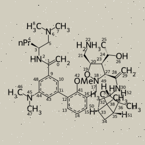 C=C(N[C@@H](CCC)CN(C)C)c1cc(-c2cccc(CN3O[C@@H](CN)[C@@H]([C@H](C)O)[C@H]3C(=C)N[C@H]3C[C@H]4C[C@@H]([C@@H]3C)C4(C)C)c2OC)cc(N(C)C)c1